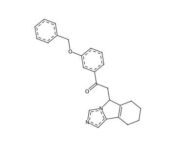 O=C(CC1C2=C(CCCC2)c2cncn21)c1cccc(OCc2ccccc2)c1